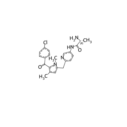 Cc1cc(Cc2ccc(NC(=O)[C@@H](C)N)cn2)n(C)c1C(=O)c1ccc(Cl)cc1